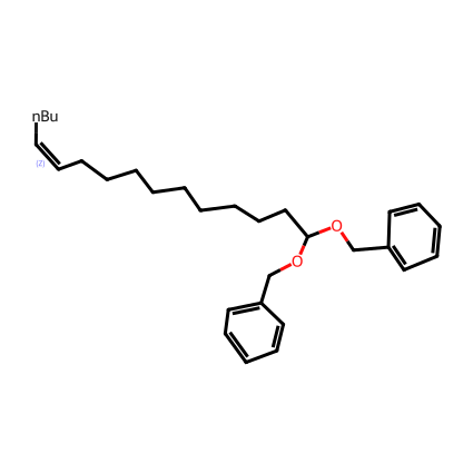 CCCC/C=C\CCCCCCCCCC(OCc1ccccc1)OCc1ccccc1